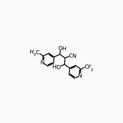 Cc1cc(C(O)C(C#N)C(O)c2ccnc(C(F)(F)F)c2)ccn1